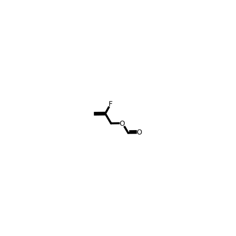 C=C(F)COC=O